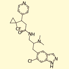 CN(C)C(CNC(=O)CC(c1ccncc1)C1(C(F)(F)F)CC1)Cc1cc2cn[nH]c2cc1Cl